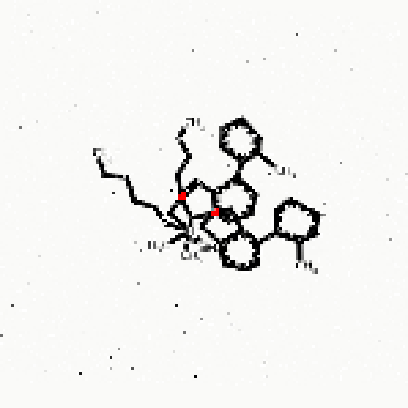 CCCCC[CH2][Hf]([CH3])([CH3])(=[SiH2])([CH2]CCCCC)([CH]1C=Cc2c(-c3ccccc3C)cccc21)[CH]1C=Cc2c(-c3ccccc3C)cccc21